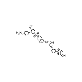 CCOc1ccc(S(=O)(=O)N2CCC3(CC2)C[C@H](NC[C@H](O)COc2cccc(S(=O)(=O)C4(CO)CC4)c2)CO3)cc1-c1ccc(CN)cc1